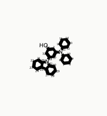 Oc1cc(N(c2ccccc2)c2ccccc2)cc(-n2c3ccccc3c3ccccc32)c1